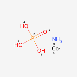 N.O=P(O)(O)O.[Co]